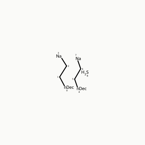 CCCCCCCCCCC[CH2][Na].CCCCCCCCCCC[CH2][Na].S